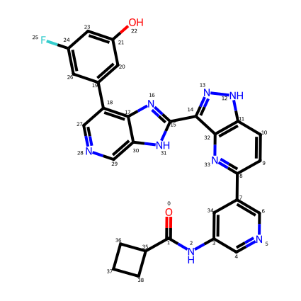 O=C(Nc1cncc(-c2ccc3[nH]nc(-c4nc5c(-c6cc(O)cc(F)c6)cncc5[nH]4)c3n2)c1)C1CCC1